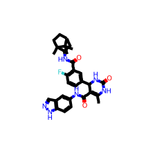 CC1=C(C(=O)Nc2ccc3[nH]ncc3c2)C(c2ccc(F)c(C(=O)NC3CC4CCC3(C)C4(C)C)c2)NC(=O)N1